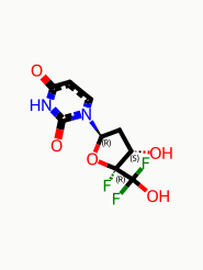 O=c1ccn([C@H]2C[C@H](O)[C@@](F)(C(O)(F)F)O2)c(=O)[nH]1